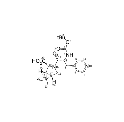 CC(C)(C)OC(=O)NC(Cc1ccncc1)C(=O)N1C[C@H]2[C@@H]([C@H]1C(=O)O)C2(C)C